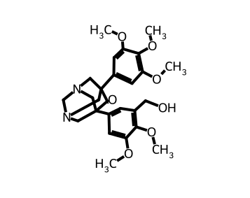 COc1cc(C23CN4CN(C2)CC(c2cc(OC)c(OC)c(OC)c2)(C4)C3=O)cc(CO)c1OC